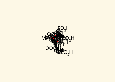 CO[C@@]1(NC(=O)Cc2cccs2)C(=O)N2C(C(=O)O)=C(COC(N)=O)CS[C@@H]21.CO[C@@]1(NC(=O)Cc2cccs2)C(=O)N2C(C(=O)O)=C(COC(N)=O)CS[C@@H]21.Cl.O=C([O-])C1=C(C[n+]2ccc(CCS(=O)(=O)O)cc2)CS[C@@H]2[C@H](NC(=O)[C@H](NC(=O)c3[nH]cnc3C(=O)O)c3ccccc3)C(=O)N12.O=C([O-])C1=C(C[n+]2ccc(CCS(=O)(=O)O)cc2)CS[C@@H]2[C@H](NC(=O)[C@H](NC(=O)c3[nH]cnc3C(=O)O)c3ccccc3)C(=O)N12